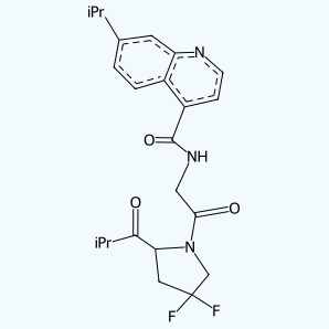 CC(C)C(=O)C1CC(F)(F)CN1C(=O)CNC(=O)c1ccnc2cc(C(C)C)ccc12